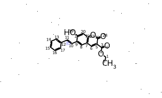 CCOC(=O)c1cc2cc(/C=C/c3ccccc3)c(O)cc2oc1=O